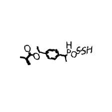 C=C(C)C(=O)OC(C)c1ccc(C(C)POSS)cc1